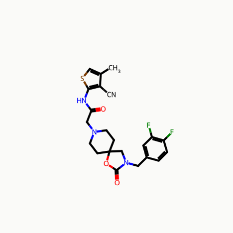 Cc1csc(NC(=O)CN2CCC3(CC2)CN(Cc2ccc(F)c(F)c2)C(=O)O3)c1C#N